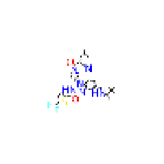 CC(C)/C=C(\C#N)C(=O)N1CC[C@@H](n2c(NC(=O)c3ccc(C(F)F)s3)nc3cc(CN[C@@H](C)C(C)(C)C)ccc32)C1